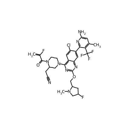 C=C(F)C(=O)N1CCN(c2nc(OCC3CC(F)CN3C)nc3cc(-c4nc(N)cc(C)c4C(F)(F)F)c(Cl)cc23)CC1CC#N